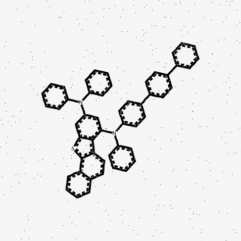 c1ccc(-c2ccc(-c3ccc(N(c4ccccc4)c4cc(N(c5ccccc5)c5ccccc5)cc5sc6c7ccccc7ccc6c45)cc3)cc2)cc1